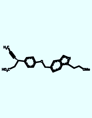 CC#C[C@@H](CC(=O)O)c1ccc(OCc2ccc3c(cnn3CCOC)c2)cc1